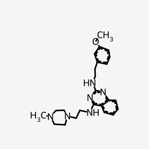 COc1cccc(CCNc2nc(NCCN3CCN(C)CC3)c3ccccc3n2)c1